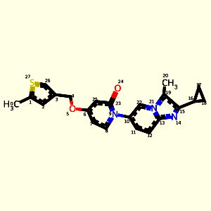 Cc1cc(COc2ccn(-c3ccc4nc(C5CC5)c(C)n4c3)c(=O)c2)cs1